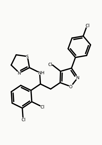 Clc1ccc(-c2noc(CC(NC3=NCCS3)c3cccc(Cl)c3Cl)c2Cl)cc1